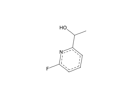 CC(O)c1cccc(F)n1